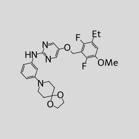 CCc1cc(OC)c(F)c(COc2cnc(Nc3cccc(N4CCC5(CC4)OCCO5)c3)nc2)c1F